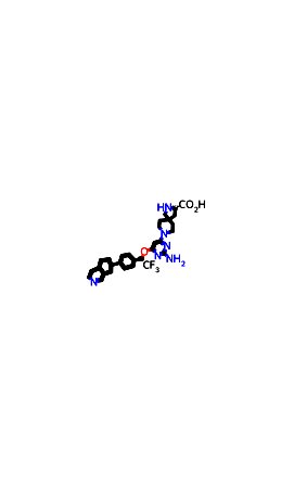 Nc1nc(O[C@H](c2ccc(-c3ccc4ccncc4c3)cc2)C(F)(F)F)cc(N2CCC3(CC2)CN[C@H](C(=O)O)C3)n1